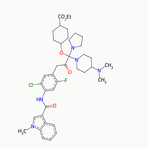 CCOC(=O)C1CCC(OC(C(=O)Cc2cc(Cl)c(NC(=O)c3cn(C)c4ccccc34)cc2F)(N2CCCC2)N2CCC(N(C)C)CC2)CC1